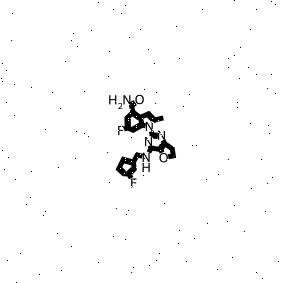 Cc1cc2c(C(N)=O)cc(F)cc2n1-c1nc2c(c(NCc3cccc(F)c3)n1)OCC2